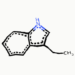 CCc1c[nH]c2cc[c]cc12